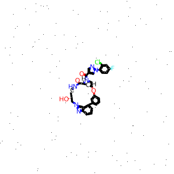 O=C1NCC[C@@H](O)Cn2cc3c(cccc3n2)-c2cccc(c2)O[C@H]2C[C@@H]1N(C(=O)c1cnn(-c3ccc(F)cc3Cl)c1)C2